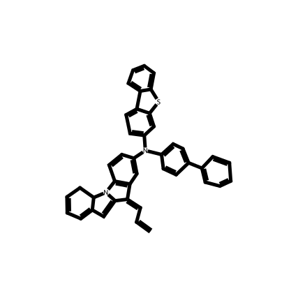 C=C/C=c1\c2n(c3ccc(N(c4ccc(-c5ccccc5)cc4)c4ccc5c(c4)sc4ccccc45)cc13)C1CC=CC=C1C=2